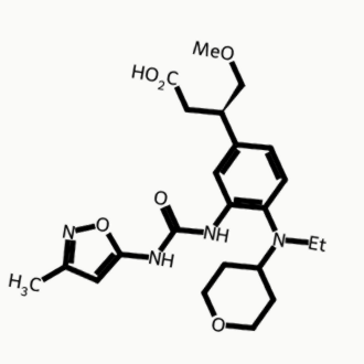 CCN(c1ccc([C@H](COC)CC(=O)O)cc1NC(=O)Nc1cc(C)no1)C1CCOCC1